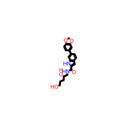 O=C(NCC(O)CCCO)c1cc2ccc(-c3ccc4c(c3)OCO4)cc2[nH]1